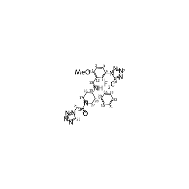 COc1ccc(-n2nnnc2C(F)(F)F)cc1CN[C@H]1CCN(C(=O)Cn2cnnn2)C[C@H]1c1ccccc1